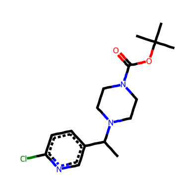 CC(c1ccc(Cl)nc1)N1CCN(C(=O)OC(C)(C)C)CC1